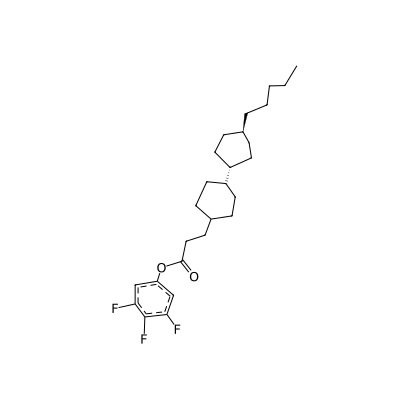 CCCCC[C@H]1CC[C@H](C2CCC(CCC(=O)Oc3cc(F)c(F)c(F)c3)CC2)CC1